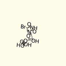 O=c1[nH]c(=O)n([C@@H]2CC(O)[C@H](COP(=O)(O)O)O2)cc1Br